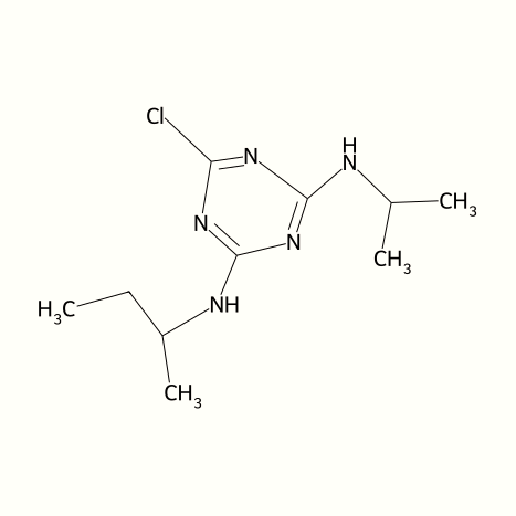 CCC(C)Nc1nc(Cl)nc(NC(C)C)n1